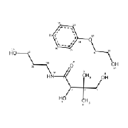 CC(C)(CO)C(O)C(=O)NCCCO.OCCOc1ccccc1